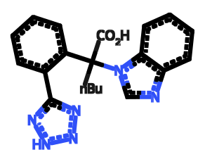 CCCCC(C(=O)O)(c1ccccc1-c1nn[nH]n1)n1cnc2ccccc21